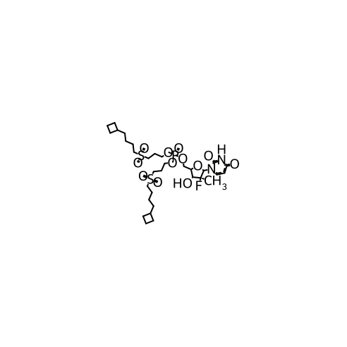 C[C@]1(F)C(n2ccc(=O)[nH]c2=O)OC(COP(=O)(OCCCS(=O)(=O)CCCCC2CCC2)OCCCS(=O)(=O)CCCCC2CCC2)[C@H]1O